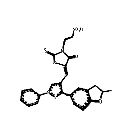 CC1Cc2cc(-c3nn(-c4ccccc4)cc3C=C3SC(=S)N(CCS(=O)(=O)O)C3=O)ccc2O1